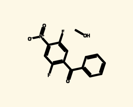 CO.O=C(c1ccccc1)c1cc(F)c([N+](=O)[O-])cc1F